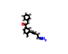 Cc1ccc(C(=O)Cc2ccccc2)cc1C#C/C=C/N